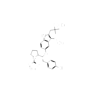 CCOC(=O)C(C)(C)Cc1[nH]c2ccc(O[C@@H](Cc3ccc(Cl)cc3)C3CCCN3C(=O)OC(C)(C)C)cc2c1SC(C)(C)C